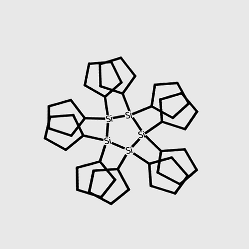 C1CCC([Si]2(C3CCCC3)[Si](C3CCCC3)(C3CCCC3)[Si](C3CCCC3)(C3CCCC3)[Si](C3CCCC3)(C3CCCC3)[Si]2(C2CCCC2)C2CCCC2)C1